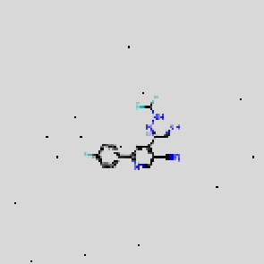 N#Cc1cnc(-c2ccc(F)cc2)cc1/C(C=N)=N/NC(F)F